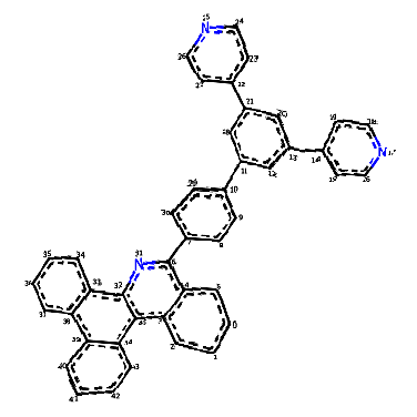 c1ccc2c(c1)c(-c1ccc(-c3cc(-c4ccncc4)cc(-c4ccncc4)c3)cc1)nc1c3ccccc3c3ccccc3c21